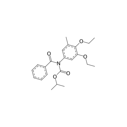 CCOc1cc(N(C(=O)OC(C)C)C(=O)c2ccccc2)cc(C)c1OCC